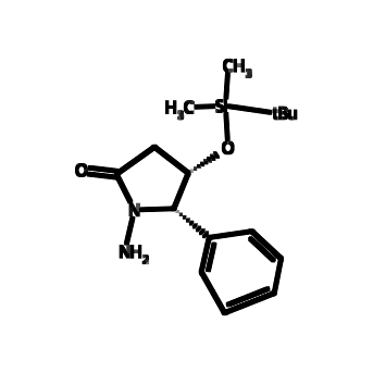 CC(C)(C)[Si](C)(C)O[C@H]1CC(=O)N(N)[C@H]1c1ccccc1